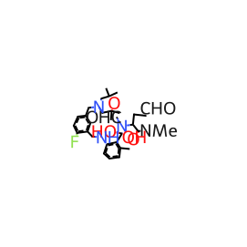 CNC(=O)C(CCC=O)N(C=O)C(O)(O)c1c(C)cccc1NCc1cc(CN2CC(C)(C)OC(C)(C)C2)ccc1F